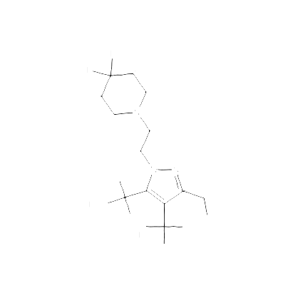 CCc1nn(CCN2CCC(F)(F)CC2)c(C(C)(C)C)c1C(C)(C)C